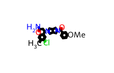 COc1cccc(C(=O)N2CC3CN(C(CC(N)=O)c4ccc(C)c(Cl)c4)CC3C2)c1